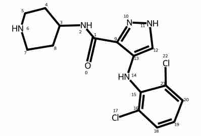 O=C(NC1CCNCC1)c1n[nH]cc1Nc1c(Cl)cccc1Cl